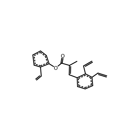 C=Cc1ccccc1OC(=O)C(C)=Cc1cccc(C=C)c1C=C